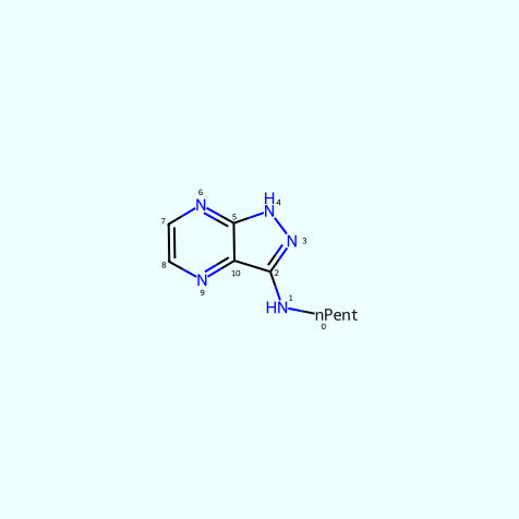 CCCCCNc1n[nH]c2nccnc12